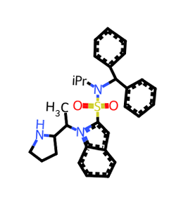 CC(C)N(C(c1ccccc1)c1ccccc1)S(=O)(=O)c1cc2ccccc2n1C(C)C1CCCN1